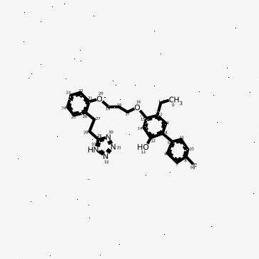 CCc1cc(-c2ccc(F)cc2)c(O)cc1OCCCOc1ccccc1CCc1nnn[nH]1